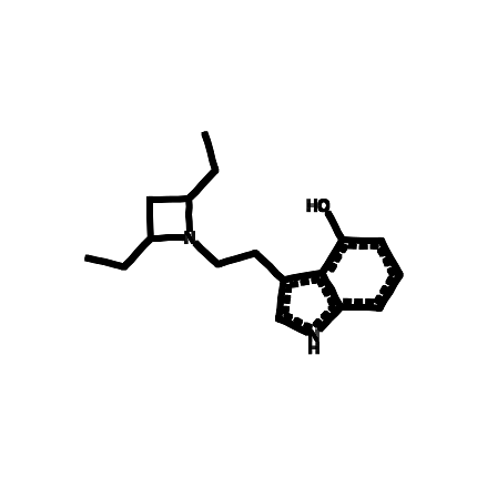 CCC1CC(CC)N1CCc1c[nH]c2cccc(O)c12